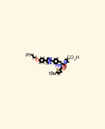 CC(C)CCCOc1ccc(-c2cnc(-c3ccc(C[C@H](NC(=O)c4ccc(C(C)(C)C)s4)C(=O)N4CC(C(=O)O)C4)cc3)nc2)cc1